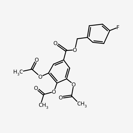 CC(=O)Oc1cc(C(=O)OCc2ccc(F)cc2)cc(OC(C)=O)c1OC(C)=O